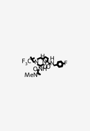 CN[C@@H](C)C(=O)N[C@H]1CN(CC(C)(C)C(F)(F)F)CC[C@H]2CC[C@@H](C(=O)NCc3ccc(F)cc3)N2C1=O